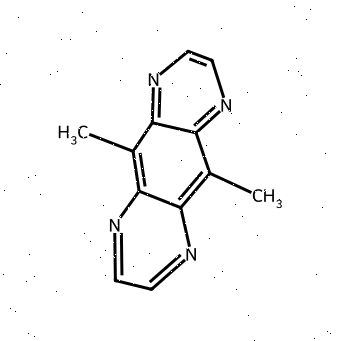 Cc1c2nccnc2c(C)c2nccnc12